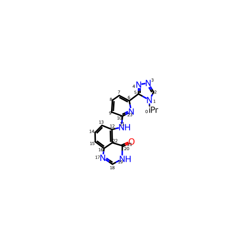 CC(C)n1cnnc1-c1cccc(Nc2cccc3nc[nH]c(=O)c23)n1